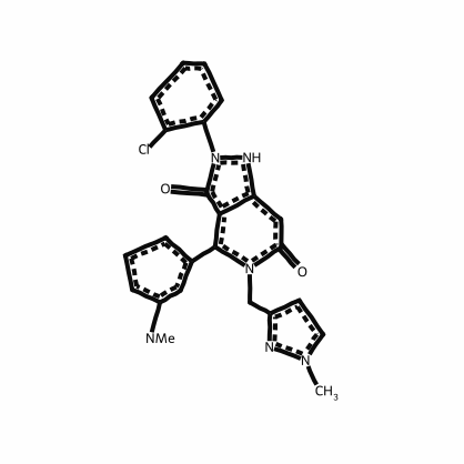 CNc1cccc(-c2c3c(=O)n(-c4ccccc4Cl)[nH]c3cc(=O)n2Cc2ccn(C)n2)c1